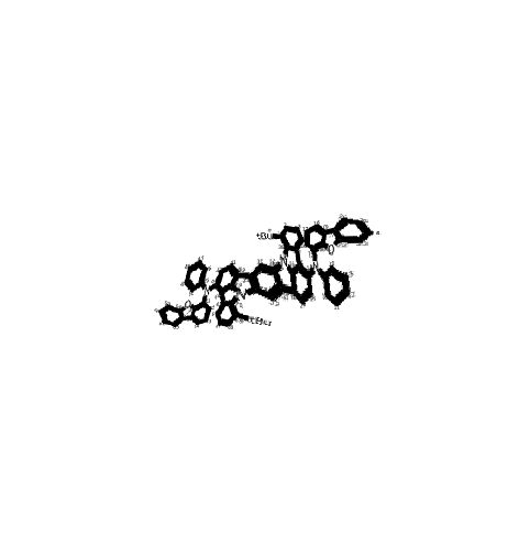 CC(C)(C)c1cccc2c3c(N(c4ccccc4)c4cccc5c4oc4ccccc45)ccc4c5cc6c(cc5n(c12)c43)c1ccc(N(c2ccccc2)c2cccc3c2oc2ccccc23)c2c3cccc(C(C)(C)C)c3n6c12